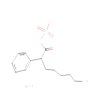 CCCCCCC(C(=O)OS(=O)(=O)O)c1ccccc1.[NaH]